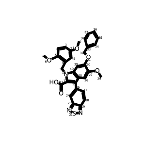 COc1ccc(OC)c(Cn2c(C(=O)O)c(-c3ccc4nsnc4c3)c3cc(OC)c(OCc4ccccc4)cc32)c1